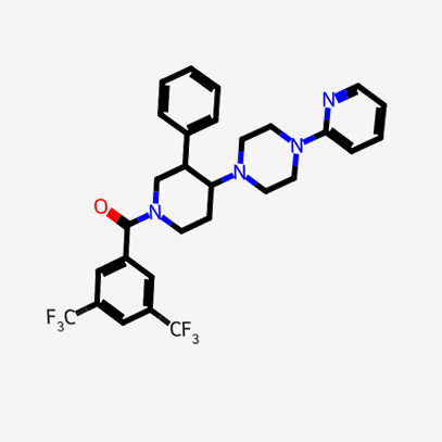 O=C(c1cc(C(F)(F)F)cc(C(F)(F)F)c1)N1CCC(N2CCN(c3ccccn3)CC2)C(c2ccccc2)C1